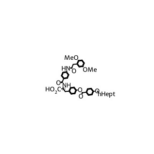 CCCCCCCOc1ccc(C(=O)Oc2ccc(C[C@H](NC(=O)c3ccc(NC(=O)Cc4cc(OC)ccc4OC)cc3)C(=O)O)cc2)cc1